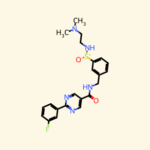 CN(C)CCN[S+]([O-])c1cccc(CNC(=O)c2cnc(-c3cccc(F)c3)nc2)c1